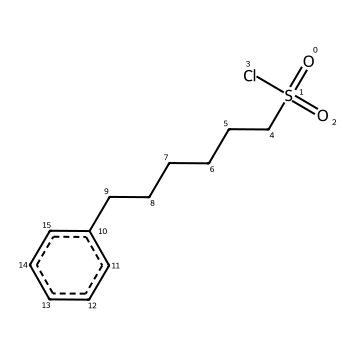 O=S(=O)(Cl)CCCCCCc1ccccc1